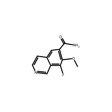 COc1c(C(N)=O)cc2ccncc2c1F